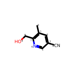 Cc1cc(C#N)cnc1CO